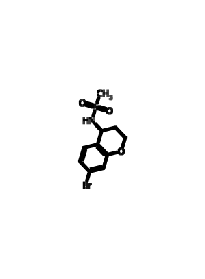 CS(=O)(=O)NC1CCOc2cc(Br)ccc21